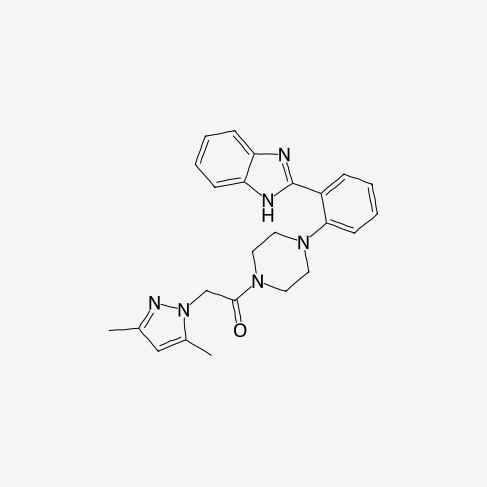 Cc1cc(C)n(CC(=O)N2CCN(c3ccccc3-c3nc4ccccc4[nH]3)CC2)n1